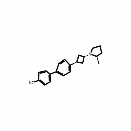 C[C@@H]1CCCN1[C@H]1C[C@H](c2ccc(-c3ccc(C#N)cc3)cc2)C1